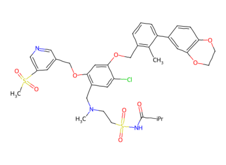 Cc1c(COc2cc(OCc3cncc(S(C)(=O)=O)c3)c(CN(C)CCS(=O)(=O)NC(=O)C(C)C)cc2Cl)cccc1-c1ccc2c(c1)OCCO2